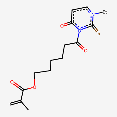 C=C(C)C(=O)OCCCCCC(=O)n1c(=O)ccn(CC)c1=S